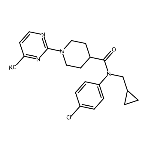 N#Cc1ccnc(N2CCC(C(=O)N(CC3CC3)c3ccc(Cl)cc3)CC2)n1